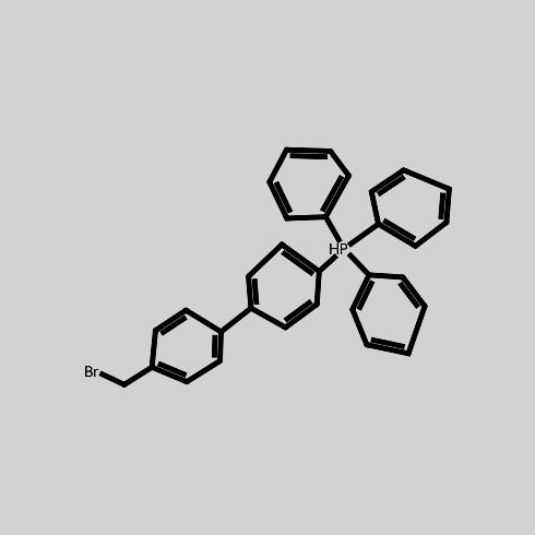 BrCc1ccc(-c2ccc([PH](c3ccccc3)(c3ccccc3)c3ccccc3)cc2)cc1